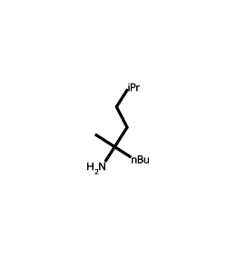 CCCCC(C)(N)CCC(C)C